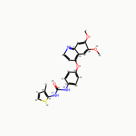 COc1cc2nccc(Oc3ccc(NC(=O)Nc4sccc4C)cc3)c2cc1OC